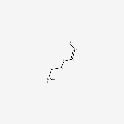 C/C=C\CCCNC